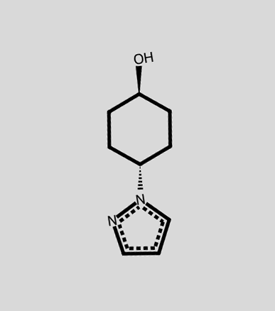 O[C@H]1CC[C@H](n2cccn2)CC1